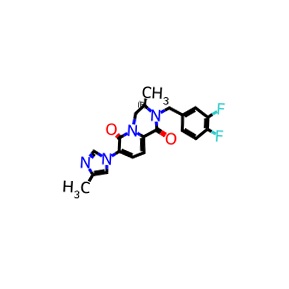 Cc1cn(-c2ccc3n(c2=O)C[C@@H](C)N(Cc2ccc(F)c(F)c2)C3=O)cn1